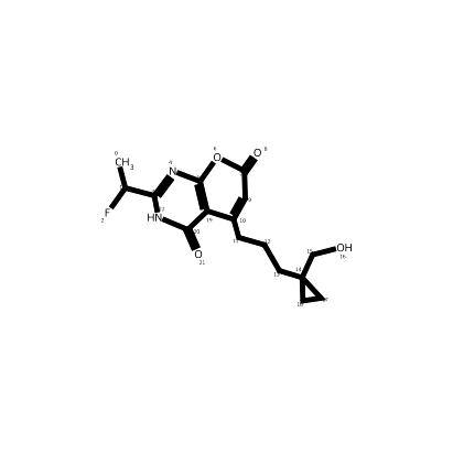 CC(F)c1nc2oc(=O)cc(CCCC3(CO)CC3)c2c(=O)[nH]1